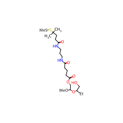 CCC(CO)OC(COC(=O)CCCC(=O)NCCCNC(=O)CCC(C)(C)SSC)OC